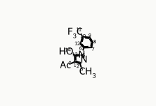 CC(=O)c1c(C)nn(-c2cccc(C(F)(F)F)c2)c1O